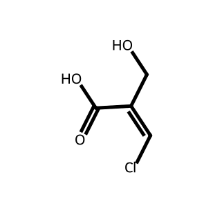 O=C(O)C(=CCl)CO